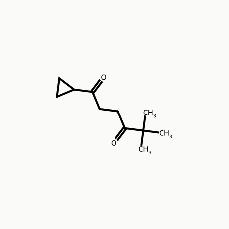 CC(C)(C)C(=O)CCC(=O)C1CC1